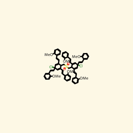 COc1ccccc1/C=C/C1=CC(Cl)(/C=C/c2ccccc2OC)C=C(/C=C/c2ccccc2OC)C1CS(=O)(=O)CC1C(/C=C/c2ccccc2OC)=CC(Cl)(/C=C/c2ccccc2OC)C=C1/C=C/c1ccccc1OC